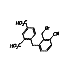 N#Cc1cccc(Cc2ccc(C(=O)O)cc2C(=O)O)c1CBr